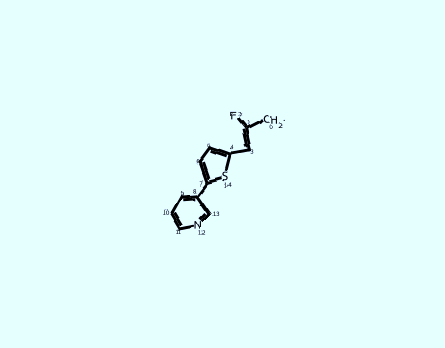 [CH2]/C(F)=C/c1ccc(-c2cccnc2)s1